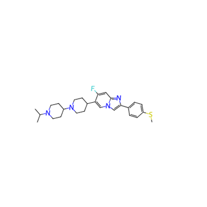 CSc1ccc(-c2cn3cc(C4CCN(C5CCN(C(C)C)CC5)CC4)c(F)cc3n2)cc1